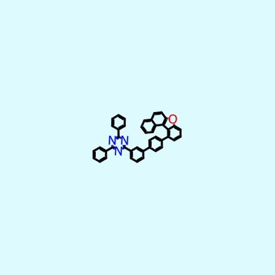 c1ccc(-c2nc(-c3ccccc3)nc(-c3cccc(-c4ccc(-c5cccc6oc7ccc8ccccc8c7c56)cc4)c3)n2)cc1